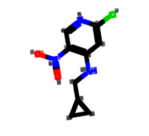 O=[N+]([O-])c1cnc(Cl)cc1NCC1CC1